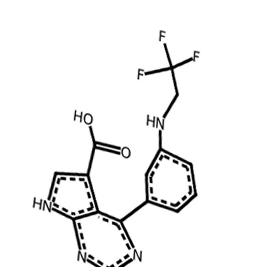 O=C(O)c1c[nH]c2ncnc(-c3cccc(NCC(F)(F)F)c3)c12